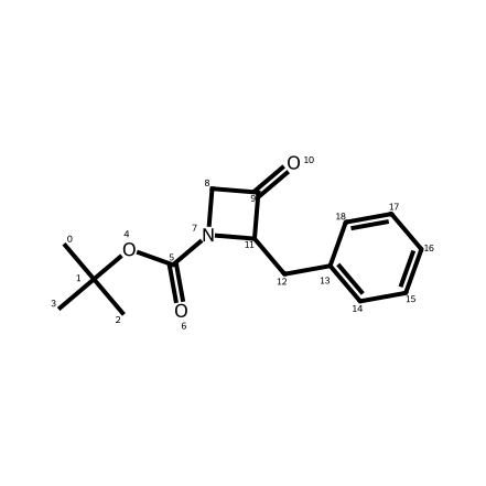 CC(C)(C)OC(=O)N1CC(=O)C1Cc1ccccc1